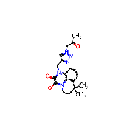 CC(=O)Cn1cc(Cn2c(=O)c(=O)n3c4c(cccc42)C(C)(C)CC3)nn1